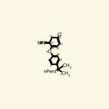 CCCCCC(C)(C)c1ccc(OC2=CC=C(Cl)CC2=[N+]=[N-])cc1